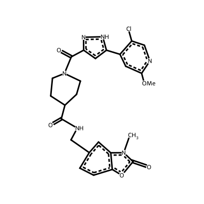 COc1cc(-c2cc(C(=O)N3CCC(C(=O)NCc4ccc5oc(=O)n(C)c5c4)CC3)n[nH]2)c(Cl)cn1